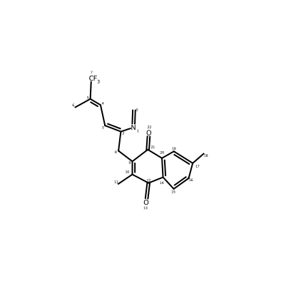 C=N/C(=C\C=C(/C)C(F)(F)F)CC1=C(C)C(=O)c2ccc(C)cc2C1=O